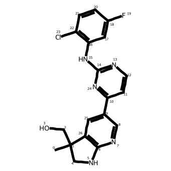 CC1(CO)CNc2ncc(-c3ccnc(Nc4cc(F)ccc4Cl)n3)cc21